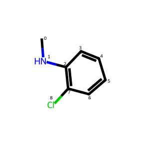 CNc1[c]cccc1Cl